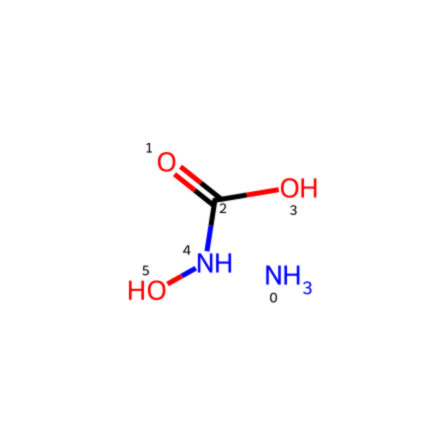 N.O=C(O)NO